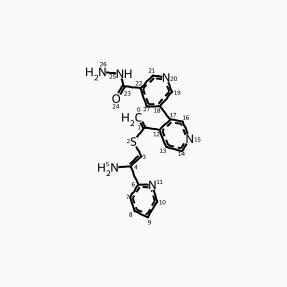 C=C(S/C=C(\N)c1ccccn1)c1ccncc1-c1cncc(C(=O)NN)c1